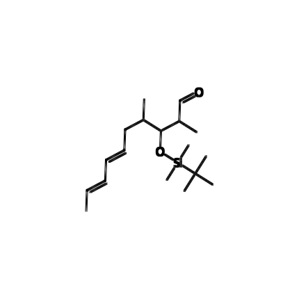 CC=CC=CCC(C)C(O[Si](C)(C)C(C)(C)C)C(C)C=O